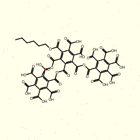 CCCCCCOC(=O)c1c(C(=O)O)c(C(=O)O)c(C(=O)OC(=O)c2c(C(=O)O)c(C(=O)O)c(C(=O)O)c(C(=O)O)c2C(=O)O)c(C(=O)OC(=O)c2c(C(=O)O)c(C(=O)O)c(C(=O)O)c(C(=O)O)c2C(=O)O)c1C(=O)OCC